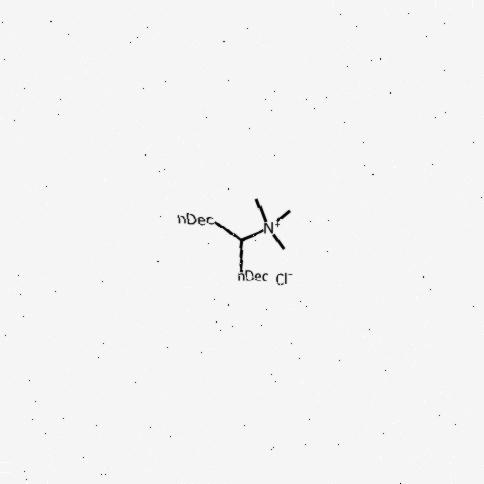 CCCCCCCCCCC(CCCCCCCCCC)[N+](C)(C)C.[Cl-]